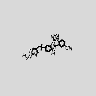 CC(C)(Cc1cnc(N)nc1)c1ccc2[nH]c(-c3cc(C#N)ccc3-n3cncn3)nc2c1